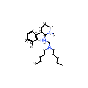 CCCCCN(CCCCC)CN[C]1C(c2ccc(C)c(C)c2)CCCN1C